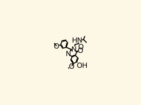 COc1cccc(-c2nc3cc(OC)c(O)cc3c(=O)n2CC(=O)NC(C)C)c1